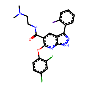 CN(C)CCNC(=O)c1cc2c(-c3ccccc3I)n[nH]c2nc1Oc1ccc(F)cc1F